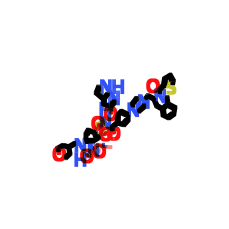 O=C(NS(=O)(=O)c1ccc(NCC2CCOCC2)c([N+](=O)[O-])c1)c1ccc(N2CCN(CC3Cc4ccccc4CN3C(=O)c3cccs3)CC2)cc1Oc1cnc2[nH]ccc2c1